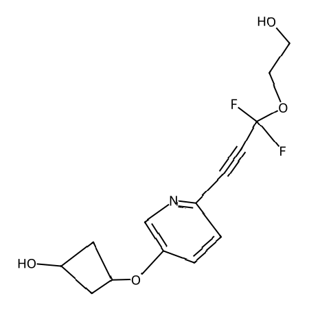 OCCOC(F)(F)C#Cc1ccc(OC2CC(O)C2)cn1